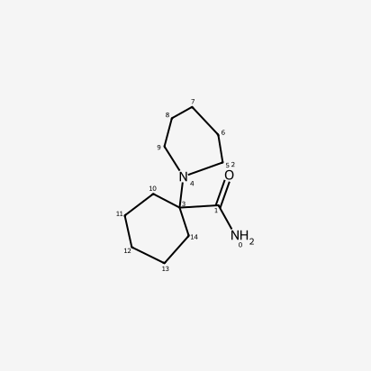 NC(=O)C1(N2CCCCC2)CCCCC1